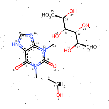 C[SiH2]O.Cn1c(=O)c2[nH]cnc2n(C)c1=O.O=C[C@@H](O)[C@@H](O)[C@H](O)[C@H](O)C(=O)O